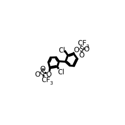 O=S(=O)(Oc1cccc(-c2cccc(OS(=O)(=O)C(F)(F)F)c2Cl)c1Cl)C(F)(F)F